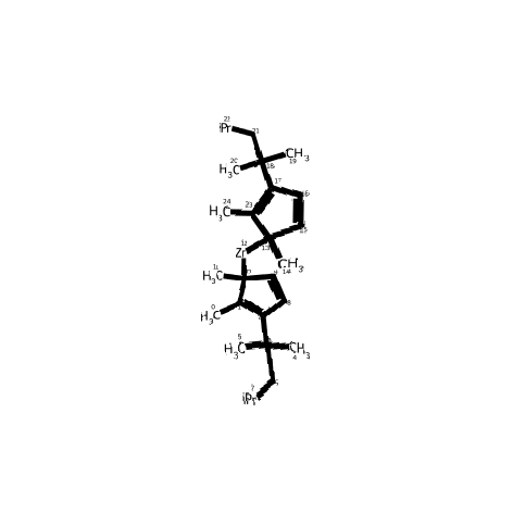 CC1=C(C(C)(C)CC(C)C)C=C[C]1(C)[Zr][C]1(C)C=CC(C(C)(C)CC(C)C)=C1C